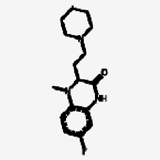 CN1c2ccc(F)cc2NC(=O)C1CCN1CC[CH]CC1